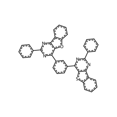 c1ccc(-c2nc(-c3cccc(-c4nc(-c5ccccc5)nc5c4sc4ccccc45)c3)c3oc4ccccc4c3n2)cc1